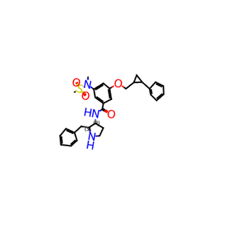 CN(c1cc(OCC2CC2c2ccccc2)cc(C(=O)N[C@@H]2CCN[C@H]2Cc2ccccc2)c1)S(C)(=O)=O